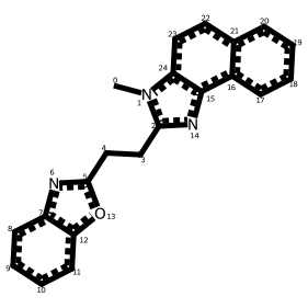 Cn1c(CCc2nc3ccccc3o2)nc2c3ccccc3ccc21